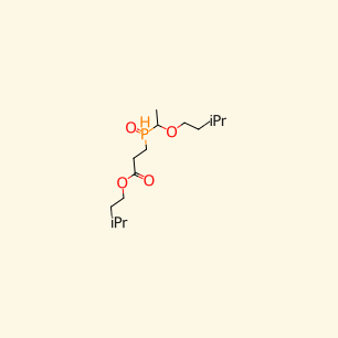 CC(C)CCOC(=O)CC[PH](=O)C(C)OCCC(C)C